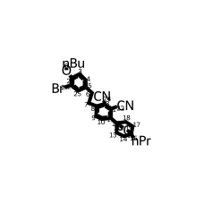 CCCCOc1ccc(CCc2ccc(C34CCC(CCC)(CC3)CC4)c(C#N)c2C#N)cc1Br